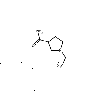 [CH2]CN1CCC(C(N)=O)C1